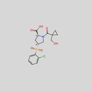 O=C(O)[C@@H]1C[C@@H](S(=O)(=O)c2ccccc2Cl)CN1C(=O)C1(CO)CC1